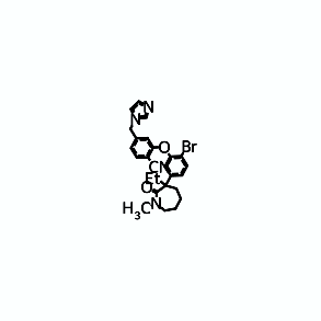 CCC1(c2ccc(Br)c(Oc3cc(Cn4ccnc4)ccc3C#N)c2)CCCCN(C)C1=O